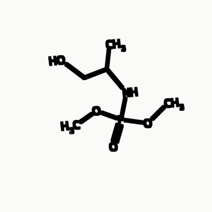 COP(=O)(NC(C)CO)OC